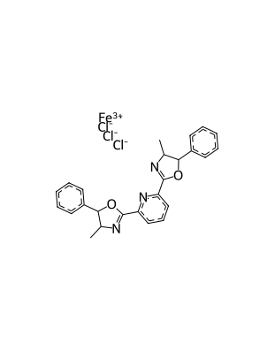 CC1N=C(c2cccc(C3=NC(C)C(c4ccccc4)O3)n2)OC1c1ccccc1.[Cl-].[Cl-].[Cl-].[Fe+3]